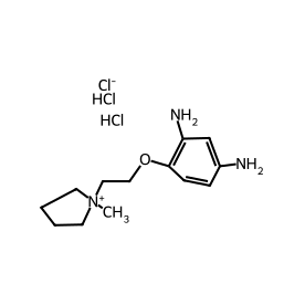 C[N+]1(CCOc2ccc(N)cc2N)CCCC1.Cl.Cl.[Cl-]